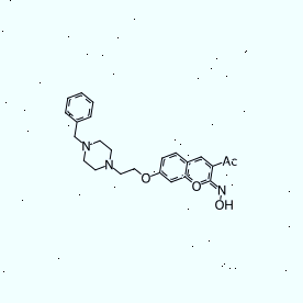 CC(=O)c1cc2ccc(OCCN3CCN(Cc4ccccc4)CC3)cc2oc1=NO